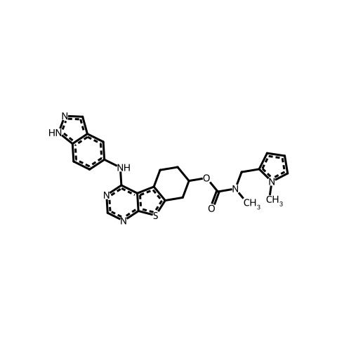 CN(Cc1cccn1C)C(=O)OC1CCc2c(sc3ncnc(Nc4ccc5[nH]ncc5c4)c23)C1